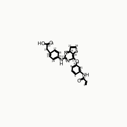 C=CC(=O)Nc1cccc(Oc2nc(Nc3ccc(CC(=O)O)cc3)nc3ccsc23)c1